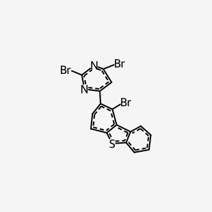 Brc1cc(-c2ccc3sc4ccccc4c3c2Br)nc(Br)n1